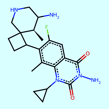 Cc1c(C2CCC23CNCC(N)[C@H]3C)c(F)cc2c(=O)n(N)c(=O)n(C3CC3)c12